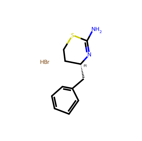 Br.NC1=N[C@H](Cc2ccccc2)CCS1